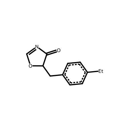 CCc1ccc(CC2OC=NC2=O)cc1